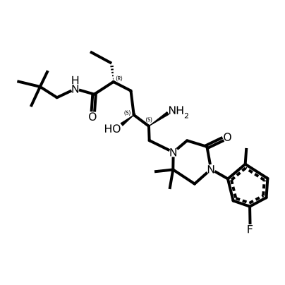 CC[C@H](C[C@H](O)[C@@H](N)CN1CC(=O)N(c2cc(F)ccc2C)CC1(C)C)C(=O)NCC(C)(C)C